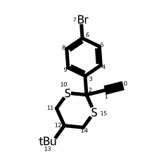 C#CC1(c2ccc(Br)cc2)SCC(C(C)(C)C)CS1